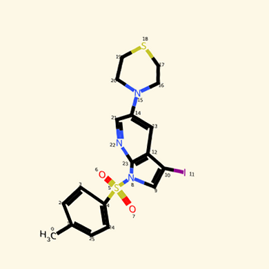 Cc1ccc(S(=O)(=O)n2cc(I)c3cc(N4CCSCC4)cnc32)cc1